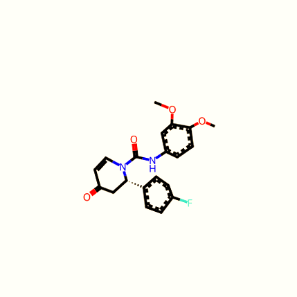 COc1ccc(NC(=O)N2C=CC(=O)C[C@H]2c2ccc(F)cc2)cc1OC